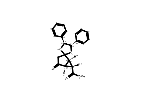 COC(=O)[C@]1(F)[C@H]2C(=O)CC3(O[C@@H](c4ccccc4)[C@H](c4ccccc4)O3)[C@H]21